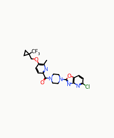 Cc1nc(C(=O)N2CCN(c3nc4nc(Cl)ccc4o3)CC2)ccc1OCC1(C(F)(F)F)CC1